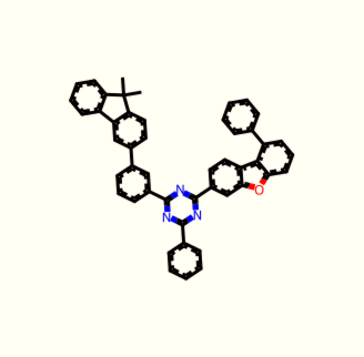 CC1(C)c2ccccc2-c2cc(-c3cccc(-c4nc(-c5ccccc5)nc(-c5ccc6c(c5)oc5cccc(-c7ccccc7)c56)n4)c3)ccc21